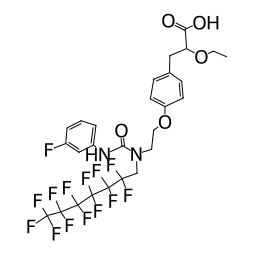 CCOC(Cc1ccc(OCCN(CC(F)(F)C(F)(F)C(F)(F)C(F)(F)C(F)(F)C(F)(F)F)C(=O)Nc2cccc(F)c2)cc1)C(=O)O